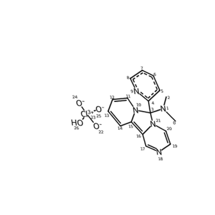 CN(C)C1(c2ccccn2)N2C=CC=CC2=C2C=NC=CN21.[O-][Cl+3]([O-])([O-])O